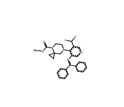 CC(C)(C)OC(=O)N1CCN(c2c(N=C(c3ccccc3)c3ccccc3)cncc2C(F)F)CC12CC2